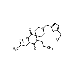 CCCN1C(=O)C(CC(C)C)NC(=O)C12CCN(Cc1ccc(CC)s1)CC2